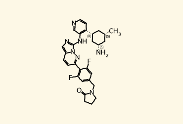 C[C@@H]1C[C@H](N)C[C@H](c2ccncc2Nc2ncc3ccc(-c4c(F)cc(CN5CCCC5=O)cc4F)nn23)C1